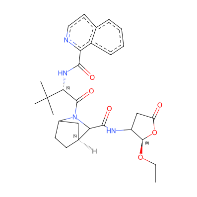 CCO[C@@H]1OC(=O)CC1NC(=O)C1[C@H]2CCC(C2)N1C(=O)[C@@H](NC(=O)c1nccc2ccccc12)C(C)(C)C